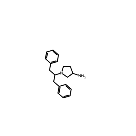 NC1CCN(C(Cc2ccccc2)Cc2ccccc2)C1